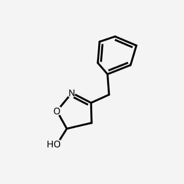 OC1CC(Cc2ccccc2)=NO1